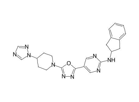 c1ccc2c(c1)CC(Nc1ncc(-c3nnc(N4CCC(n5cncn5)CC4)o3)cn1)C2